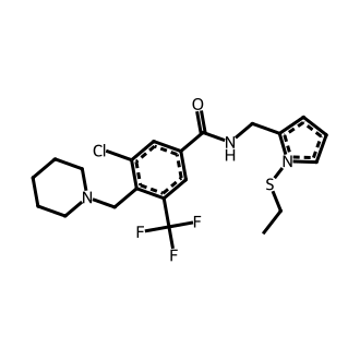 CCSn1cccc1CNC(=O)c1cc(Cl)c(CN2CCCCC2)c(C(F)(F)F)c1